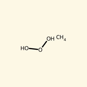 C.OOO